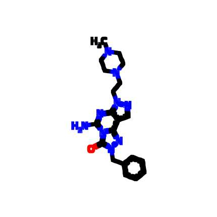 CN1CCN(CCn2ncc3c2nc(N)n2c(=O)n(Cc4ccccc4)nc32)CC1